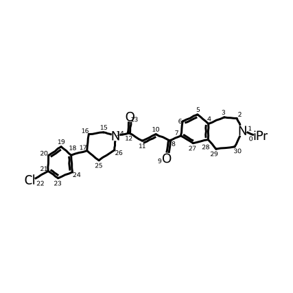 CC(C)N1CCc2ccc(C(=O)C=CC(=O)N3CCC(c4ccc(Cl)cc4)CC3)cc2CC1